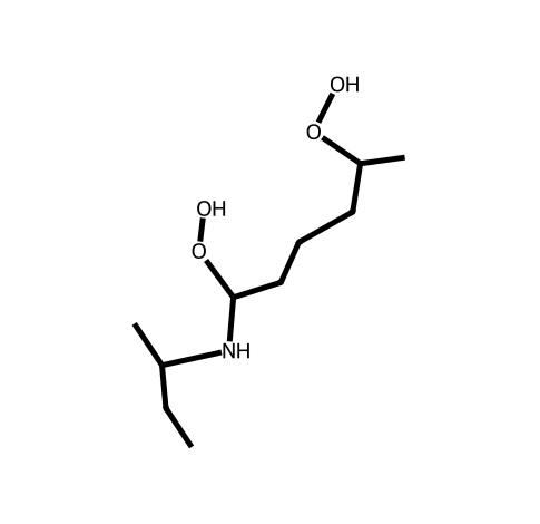 CCC(C)NC(CCCC(C)OO)OO